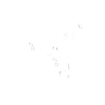 CCNC/C=C/C(=O)N1Cc2sc(C#N)cc2[C@H](c2ccccc2-c2cn(CC)nc2C(F)(F)F)C1